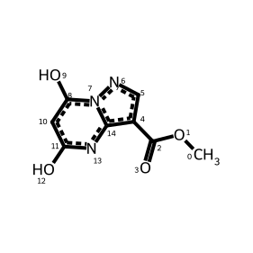 COC(=O)c1cnn2c(O)cc(O)nc12